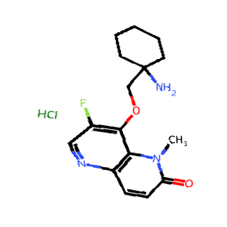 Cl.Cn1c(=O)ccc2ncc(F)c(OCC3(N)CCCCC3)c21